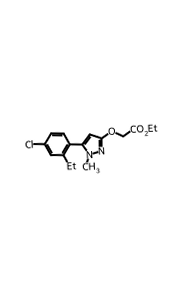 CCOC(=O)COc1cc(-c2ccc(Cl)cc2CC)n(C)n1